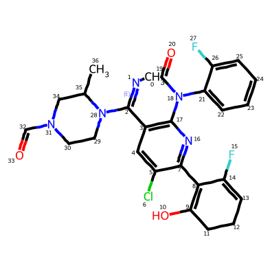 C/N=C(\c1cc(Cl)c(C2=C(O)CCC=C2F)nc1N(C=O)c1ccccc1F)N1CCN(C=O)CC1C